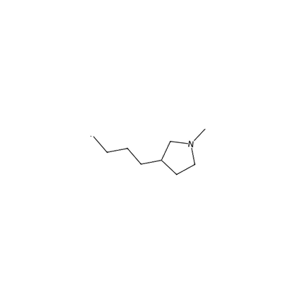 [CH2]CCCC1CCN(C)C1